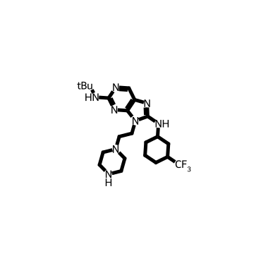 CC(C)(C)Nc1ncc2nc(NC3CCCC(C(F)(F)F)C3)n(CCN3CCNCC3)c2n1